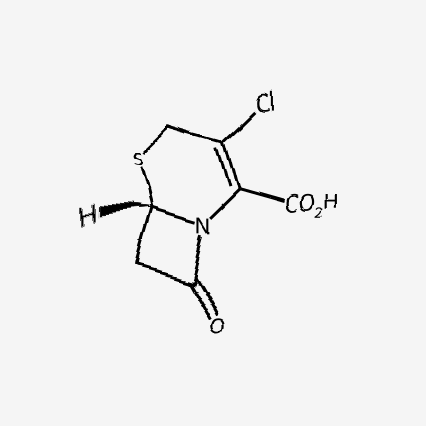 O=C(O)C1=C(Cl)CS[C@H]2CC(=O)N12